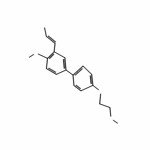 C/C=C/c1cc(-c2ccc(OCCOCCCC)cc2)ccc1OCC